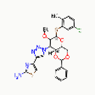 CCOC1C(n2cc(-c3csc(N)n3)nn2)[C@H]2OC(c3ccccc3)OCC2O[C@@H]1Sc1cc(Cl)ccc1C#N